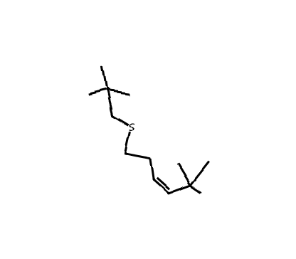 CC(C)(C)/C=C\CCSCC(C)(C)C